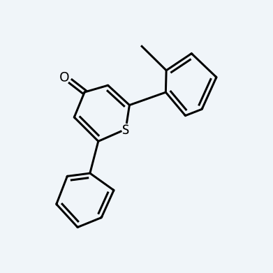 Cc1ccccc1-c1cc(=O)cc(-c2ccccc2)s1